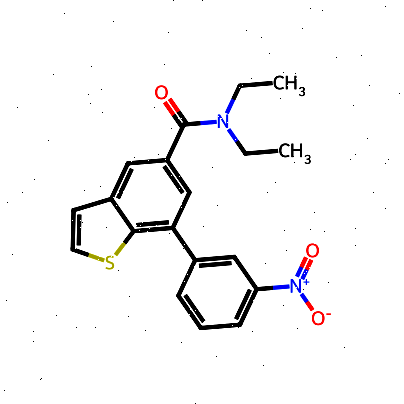 CCN(CC)C(=O)c1cc(-c2cccc([N+](=O)[O-])c2)c2sccc2c1